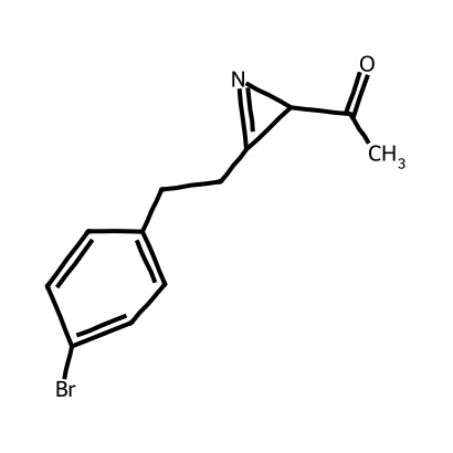 CC(=O)C1N=C1CCc1ccc(Br)cc1